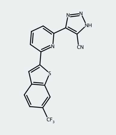 N#Cc1[nH]nnc1-c1cccc(-c2cc3ccc(C(F)(F)F)cc3s2)n1